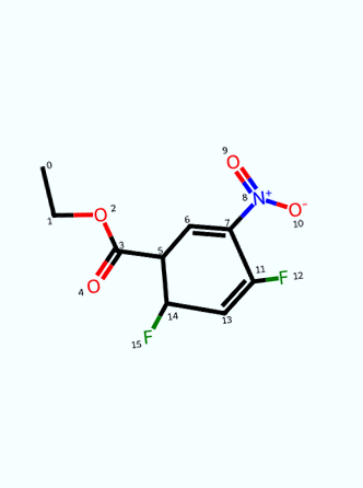 CCOC(=O)C1C=C([N+](=O)[O-])C(F)=CC1F